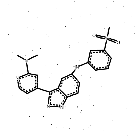 CN(C)c1cc(-c2n[nH]c3ccc(Nc4cccc(S(C)(=O)=O)c4)cc23)ccn1